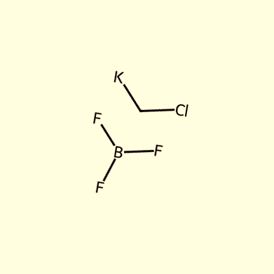 Cl[CH2][K].FB(F)F